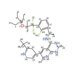 CC[Si](CC)(CC)OC(C)(C)C(F)(F)c1cccc([C@@H](C)Nc2nc(C)nc3nc(C)c(C4=CCN=C(C(C)(C)C)C4)cc23)c1F